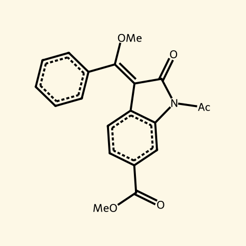 COC(=O)c1ccc2c(c1)N(C(C)=O)C(=O)/C2=C(\OC)c1ccccc1